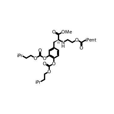 CCCC(C)C(=O)OCCN[C@@H](Cc1ccc(OC(=O)OCCC(C)C)c(OC(=O)OCCC(C)C)c1)C(=O)OC